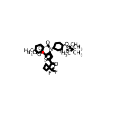 COC(=O)c1sc(C(=O)C2(C(F)(F)F)CCC2)cc1N(C(=O)[C@H]1CC[C@H](C)CC1)[C@H]1CC[C@H](O[Si](C)(C)C(C)(C)C)CC1